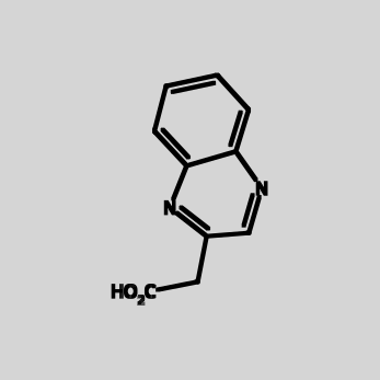 O=C(O)Cc1cnc2ccccc2n1